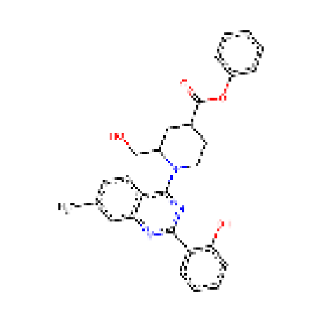 Cc1ccc2c(N3CCC(C(=O)Oc4ccccc4)CC3CO)nc(-c3ccccc3O)nc2c1